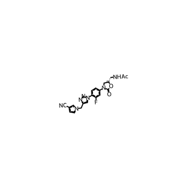 CC(=O)NC[C@H]1CN(c2ccc(-n3cc(Cn4ccc(C#N)c4)nn3)c(F)c2)C(=O)O1